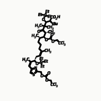 CC[Si](CC)(CC)O[C@@H](CC=C(C)CCC[C@H](C)[C@H](OC(=O)OCC(Cl)(Cl)Cl)[C@@H](C)C(=O)C(C)(C)[C@@H](O[Si](CC)(CC)CC)C(C(=O)O)C(C)(C)C)C(C)=Cc1csc(COC(=O)OCC(Cl)(Cl)Cl)n1